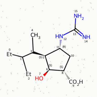 CCC(CC)C(C)[C@@H]1[C@H](O)[C@@H](C(=O)O)C[C@H]1NC(=N)N